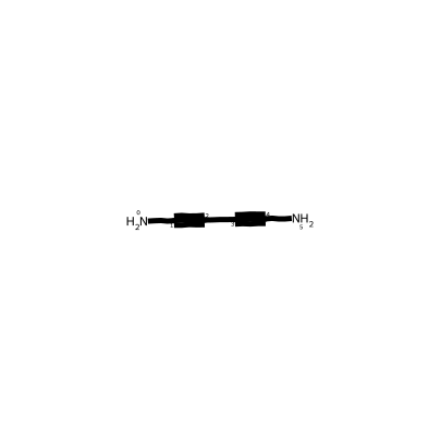 NC#CC#CN